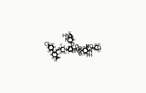 C[C@@H]1CN(c2ccc(C(=O)NS(=O)(=O)c3cc(F)c(NCC4CCOCC4)c([N+](=O)[O-])c3)c(Oc3cnc4[nH]ccc4c3)c2)CCN1CC1=C(c2ccc(Cl)cc2)CCC2(CC2)C1